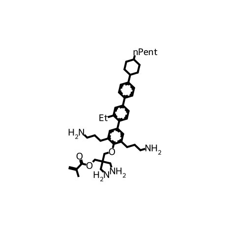 C=C(C)C(=O)OCC(CN)(CN)COc1c(CCCN)cc(-c2ccc(-c3ccc(C4CCC(CCCCC)CC4)cc3)cc2CC)cc1CCCN